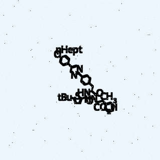 CCCCCCCOc1ccc(-c2cnc(-c3ccc(C[C@H](NC(=O)c4ccc(C(C)(C)C)s4)C(=O)N[C@@H](C(=O)O)C(C)c4ccccc4)cc3)nc2)cc1